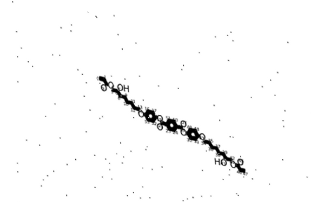 C=CC(=O)OCC(O)CCCCCCOc1ccc(OC(=O)c2ccc(C(=O)Oc3ccc(OCCCCCCC(O)COC(=O)C=C)cc3)cc2)cc1